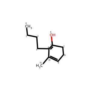 CCCCC1=C(O)[CH]CC=C1C